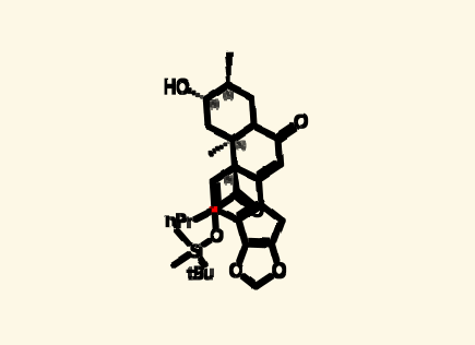 CCCC1=C[C@@]2(C(=O)CO[Si](C)(C)C(C)(C)C)C(=CC(=O)C3C[C@H](C)[C@@H](O)C[C@@]32C)C2=C1C1=C(C2)OCO1